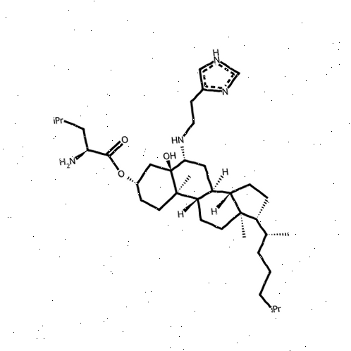 CC(C)CCC[C@@H](C)[C@H]1CC[C@H]2[C@@H]3C[C@@H](NCCc4c[nH]cn4)[C@@]4(O)C[C@@H](OC(=O)[C@@H](N)CC(C)C)CC[C@]4(C)[C@H]3CC[C@]12C